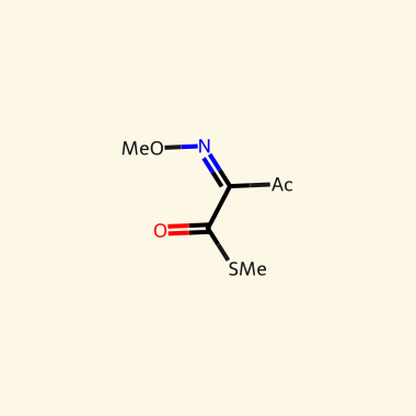 CON=C(C(C)=O)C(=O)SC